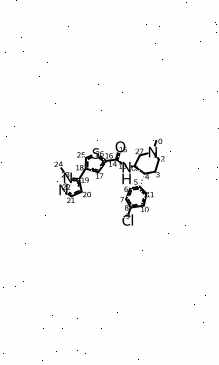 CN1CC[C@H](c2ccc(Cl)cc2)[C@@H](NC(=O)c2cc(-c3ccnn3C)cs2)C1